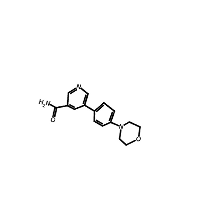 NC(=O)c1cncc(-c2ccc(N3CCOCC3)cc2)c1